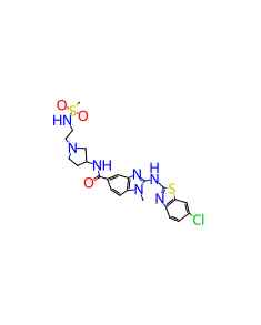 Cn1c(Nc2nc3ccc(Cl)cc3s2)nc2cc(C(=O)NC3CCN(CCNS(C)(=O)=O)C3)ccc21